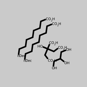 CCCCCCCCCCCCCCCCCC(=O)O.CCCCCCCCCCCCCCCCCC(=O)O.O=C(O)CC(O)(CC(=O)O)C(=O)O.OCC(O)CO